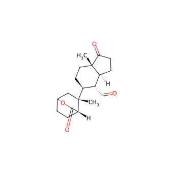 C[C@]1([C@H]2CC[C@]3(C)C(=O)CC[C@H]3[C@@H]2C=O)CC2CC[C@@H]1C(=O)O2